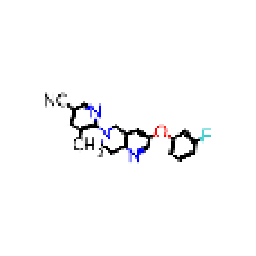 Cc1cc(C#N)cnc1N1CCc2ncc(Oc3cccc(F)c3)cc2C1